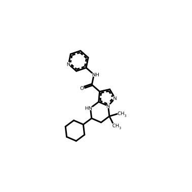 CC1(C)CC(C2CCCCC2)Nc2c(C(=O)Nc3cccnc3)cnn21